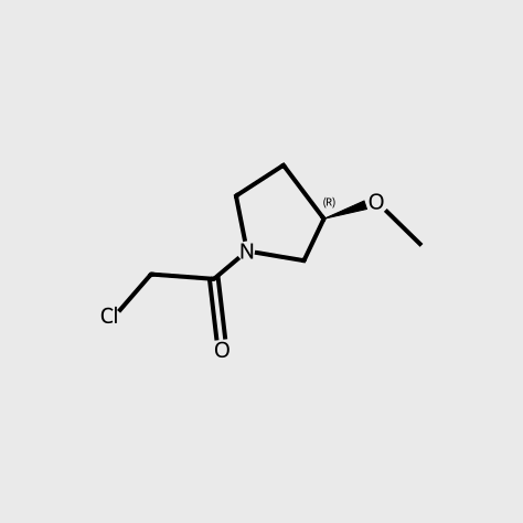 CO[C@@H]1CCN(C(=O)CCl)C1